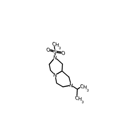 CC(C)N1CCN2CCN(S(C)(=O)=O)CC2C1